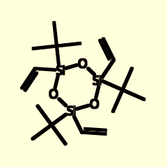 C=C[Si]1(C(C)(C)C)O[Si](C=C)(C(C)(C)C)O[Si](C=C)(C(C)(C)C)O1